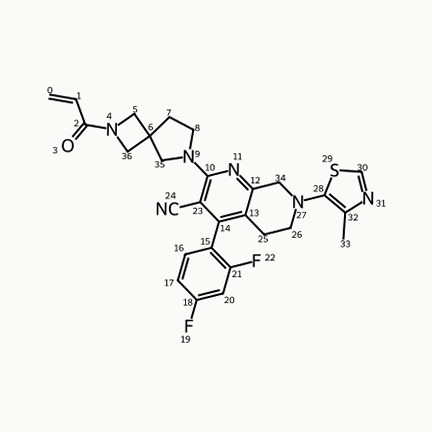 C=CC(=O)N1CC2(CCN(c3nc4c(c(-c5ccc(F)cc5F)c3C#N)CCN(c3scnc3C)C4)C2)C1